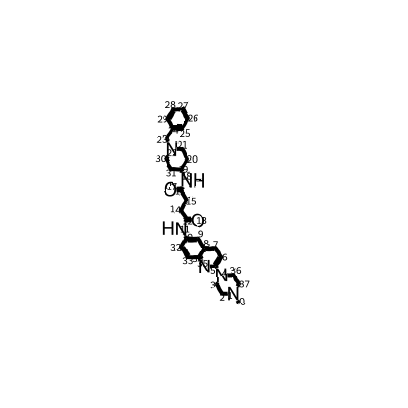 CN1CCN(c2ccc3cc(NC(=O)CCC(=O)NC4CCN(Cc5ccccc5)CC4)ccc3n2)CC1